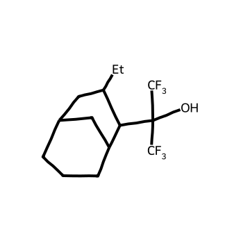 CCC1CC2CCCC(C2)C1C(O)(C(F)(F)F)C(F)(F)F